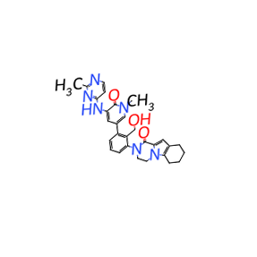 Cc1nccc(Nc2cc(-c3cccc(N4CCn5c(cc6c5CCCC6)C4=O)c3CO)cn(C)c2=O)n1